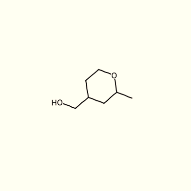 CC1CC(CO)CCO1